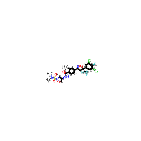 Cc1cc(C2=NO[C@@](c3cc(Cl)c(F)c(Cl)c3)(C(F)(F)F)C2)ccc1C(=O)NC1CON(S(=O)(=O)N(C)C)C1